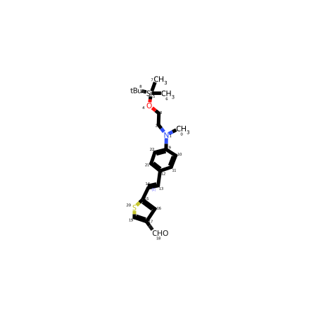 CN(CCO[Si](C)(C)C(C)(C)C)c1ccc(/C=C/c2cc(C=O)cs2)cc1